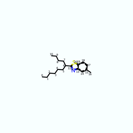 CCCCCCC(CCCC)c1nc2cc(C)ccc2s1